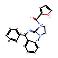 CN1CCN(C(=O)c2ccco2)C1=NC(c1ccccc1)c1ccccc1